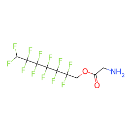 NCC(=O)OCC(F)(F)C(F)(F)C(F)(F)C(F)(F)C(F)(F)C(F)F